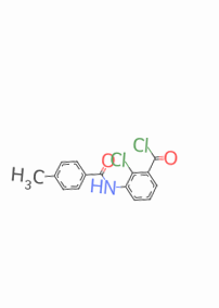 Cc1ccc(C(=O)Nc2cccc(C(=O)Cl)c2Cl)cc1